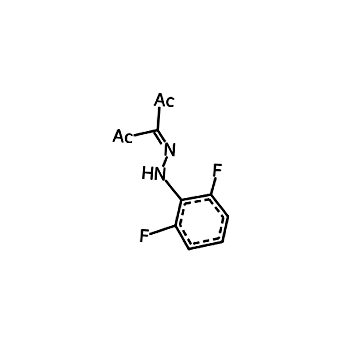 CC(=O)C(=NNc1c(F)cccc1F)C(C)=O